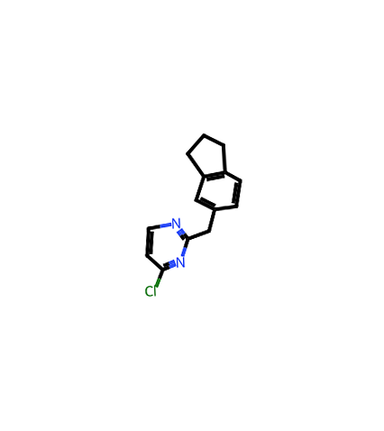 Clc1ccnc(Cc2ccc3c(c2)CCC3)n1